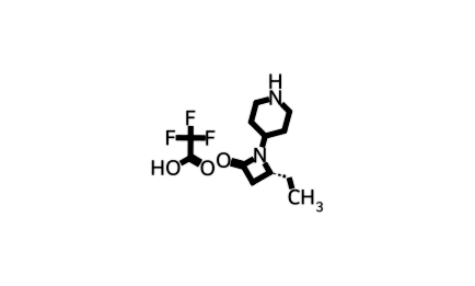 CC[C@@H]1CC(=O)N1C1CCNCC1.O=C(O)C(F)(F)F